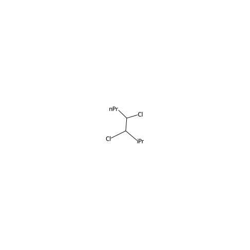 CCCC(Cl)C(Cl)C(C)C